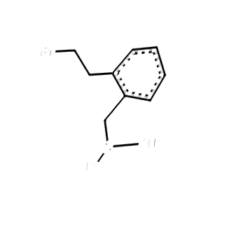 CC(C)CCc1cc[c]cc1CN(C)C(C)C